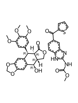 COC(=O)Nc1nc2cc(C(=O)c3cccs3)ccc2[nH]1.COc1cc([C@@H]2c3cc4c(cc3[C@H](O)[C@H]3COC(=O)[C@H]23)OCO4)cc(OC)c1OC